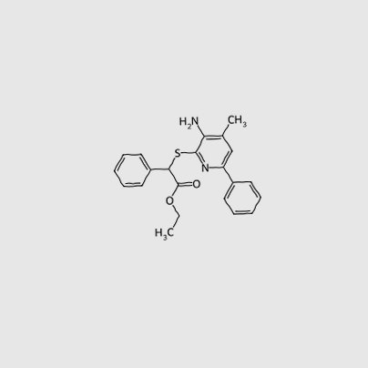 CCOC(=O)C(Sc1nc(-c2ccccc2)cc(C)c1N)c1ccccc1